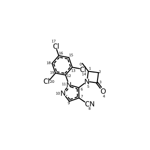 CC1CC(=O)N1c1c(C#N)cnn1-c1c(Cl)cc(Cl)cc1Cl